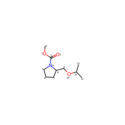 COC(=O)N1CCCC1COC(C)C